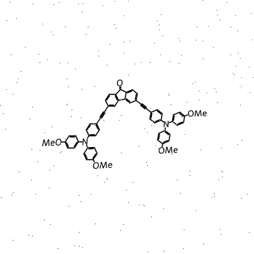 COc1ccc(N(c2ccc(C#Cc3ccc4c(c3)-c3cc(C#Cc5ccc(N(c6ccc(OC)cc6)c6ccc(OC)cc6)cc5)ccc3C4=O)cc2)c2ccc(OC)cc2)cc1